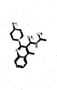 Cc1c(C(N)NC(C)O)c(N2CCC(N)CC2)nc2ccccc12